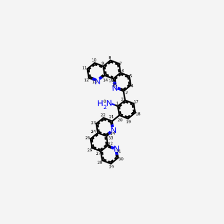 Nc1c(-c2ccc3ccc4cccnc4c3n2)cccc1-c1ccc2ccc3cccnc3c2n1